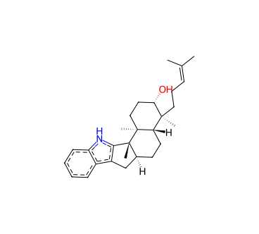 CC(C)=CCC[C@]1(C)[C@@H](O)CC[C@@]2(C)[C@H]1CC[C@H]1Cc3c([nH]c4ccccc34)[C@@]12C